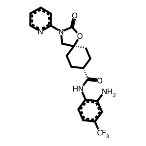 Nc1cc(C(F)(F)F)ccc1NC(=O)[C@H]1CC[C@]2(CC1)CN(c1ccccn1)C(=O)O2